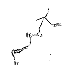 CCC/C=C/BOC(C)(C)C(C)(C)C